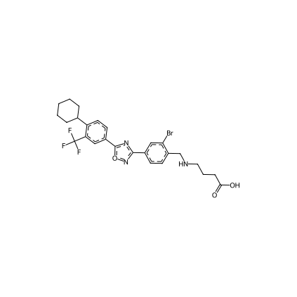 O=C(O)CCCNCc1ccc(-c2noc(-c3ccc(C4CCCCC4)c(C(F)(F)F)c3)n2)cc1Br